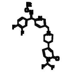 CCO/N=C(\c1ccc(F)c(F)c1)c1ccc(CN2CCC(c3ccn(C(F)F)c(=O)c3)CC2)cn1